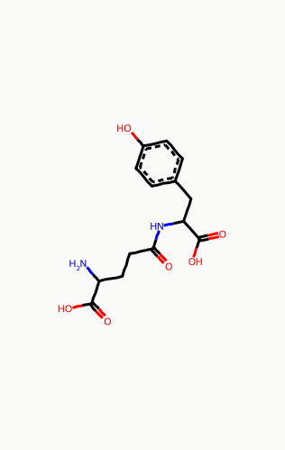 NC(CCC(=O)NC(Cc1ccc(O)cc1)C(=O)O)C(=O)O